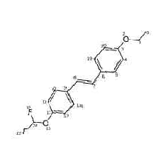 CCOc1ccc(C=Cc2ccc(OC(F)F)cc2)cc1